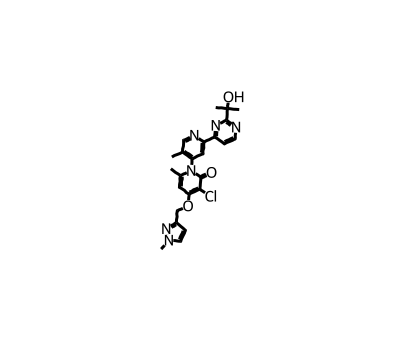 Cc1cnc(-c2ccnc(C(C)(C)O)n2)cc1-n1c(C)cc(OCc2ccn(C)n2)c(Cl)c1=O